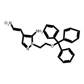 Nc1c(C=C[N+](=O)[O-])cnn1CCOC(c1ccccc1)(c1ccccc1)c1ccccc1